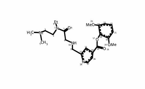 CCN(CCN(C)C)C(=O)CNCc1cc(C(=O)Oc2c(OC)cccc2OC)ccn1